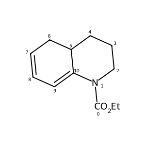 CCOC(=O)N1CCCC2CC=CC=C21